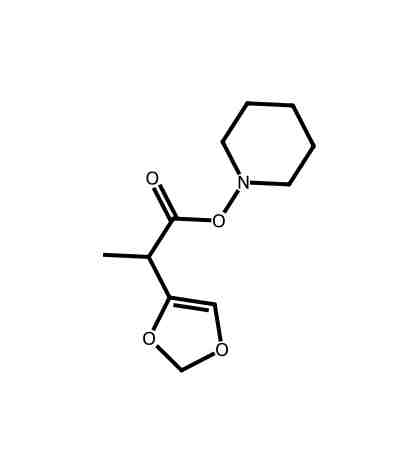 CC(C(=O)ON1CCCCC1)C1=COCO1